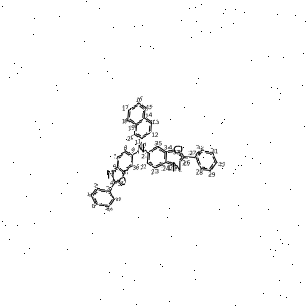 c1ccc(-c2nc3ccc(N(c4ccc5ccccc5c4)c4ccc5nc(-c6ccccc6)oc5c4)cc3o2)cc1